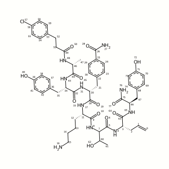 C=CC[C@H](NC(=O)C(NC(=O)[C@H](CCCCN)NC(=O)[C@@H](Cc1ccc(C(N)=O)cc1)NC(=O)[C@H](Cc1ccc(O)cc1)NC(=O)[C@@H](C)NC(=O)CCc1ccc(Cl)cc1)C(C)O)C(=O)N[C@H](Cc1ccc(O)cc1)C(N)=O